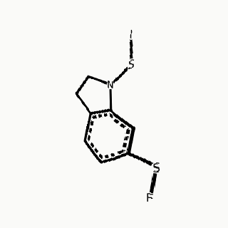 FSc1ccc2c(c1)N(SI)CC2